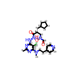 Cc1nc(NNC(=O)[C@H](CC2CCCC2)CN(O)C=O)c(F)c(N(C)CCc2ccncc2)n1